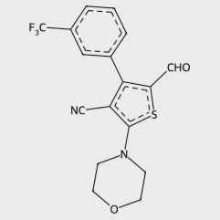 N#Cc1c(N2CCOCC2)sc(C=O)c1-c1cccc(C(F)(F)F)c1